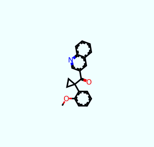 COc1ccccc1C1(C(=O)c2cnc3ccccc3c2)CC1